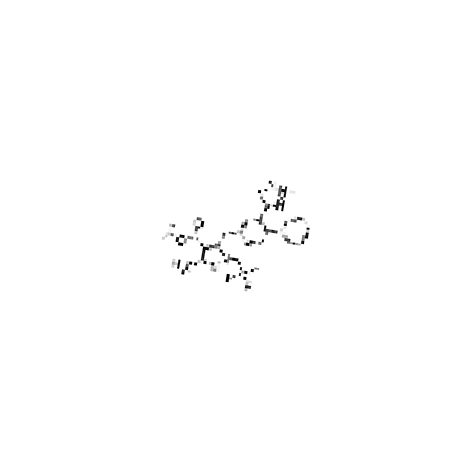 COC(=O)c1c(C)nn(CC(F)(F)F)c1Cc1ccc(-c2ccccc2)c(-c2nn[nH]n2)c1